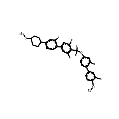 CCCCOC1CCC(c2ccc(-c3cc(F)c(C(F)(F)Oc4ccc(-c5ccc(OCC)c(F)c5)c(F)c4)c(F)c3)c(F)c2)CC1